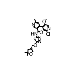 COc1cnc(Cl)cc1-c1cc(C)ncc1C(=O)Nc1nnc(OC[C@H]2COC(C)(C)C2)s1